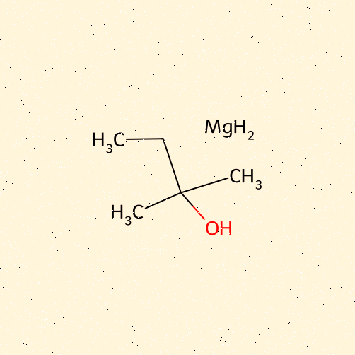 CCC(C)(C)O.[MgH2]